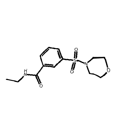 CCNC(=O)c1cccc(S(=O)(=O)N2CCOCC2)c1